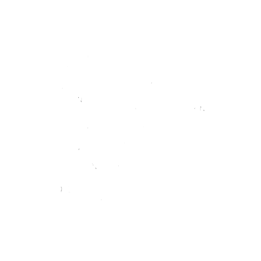 CC(=S)N1CCC(=C2c3ccc(C#N)cc3CCc3cccnc32)CC1